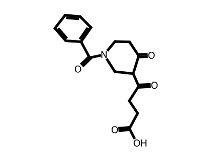 O=C(O)CCC(=O)C1CN(C(=O)c2ccccc2)CCC1=O